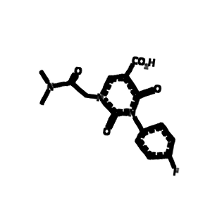 CN(C)C(=O)Cn1cc(C(=O)O)c(=O)n(-c2ccc(F)cc2)c1=O